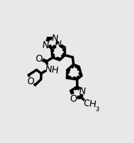 Cc1nc(-c2ccc(Cc3cc(C(=O)NC4CCOCC4)c4ncnn4c3)cc2)co1